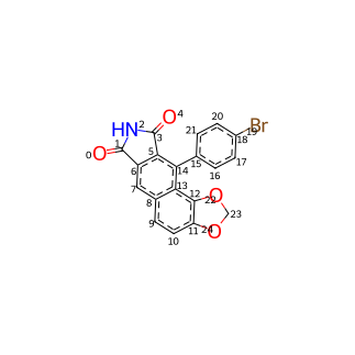 O=C1NC(=O)c2c1cc1ccc3c(c1c2-c1ccc(Br)cc1)OCO3